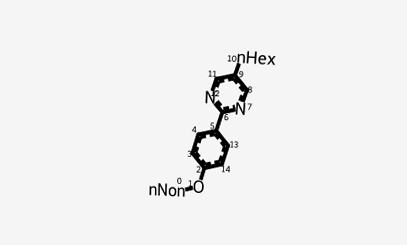 CCCCCCCCCOc1ccc(-c2ncc(CCCCCC)cn2)cc1